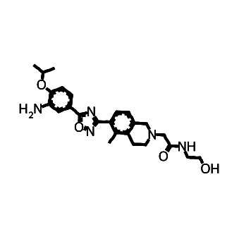 Cc1c(-c2noc(-c3ccc(OC(C)C)c(N)c3)n2)ccc2c1CCN(CC(=O)NCCO)C2